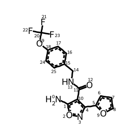 Nc1onc(-c2ccco2)c1C(=O)NCc1ccc(OC(F)(F)F)cc1